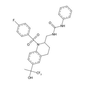 CC(O)(c1ccc2c(c1)CCC(CNC(=O)Nc1ccccc1)N2S(=O)(=O)c1ccc(F)cc1)C(F)(F)F